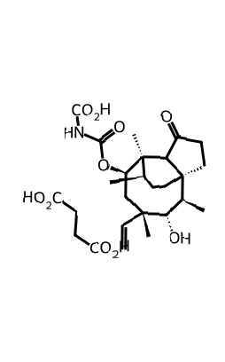 C=C[C@]1(C)C[C@@H](OC(=O)NC(=O)O)[C@@]2(C)C3C(=O)CC[C@@]3(CC[C@H]2C)[C@@H](C)[C@@H]1O.O=C(O)CCC(=O)O